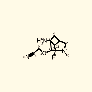 CN1CC2CC3(N)C(OCC#N)[C@@H]1C23